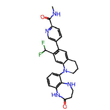 CNC(=O)c1ccc(-c2cc3c(cc2C(F)F)N(c2cccc4c2NCCC(=O)N4)CCC3)cn1